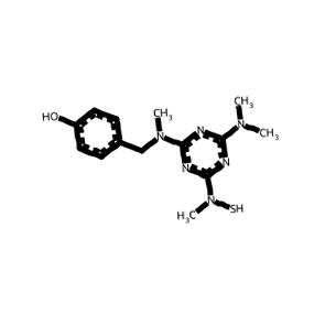 CN(C)c1nc(N(C)S)nc(N(C)Cc2ccc(O)cc2)n1